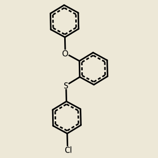 Clc1ccc(Sc2ccccc2Oc2ccccc2)cc1